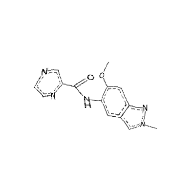 COc1cc2nn(C)cc2cc1NC(=O)c1cnccn1